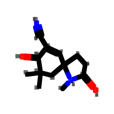 CN1C(=O)CCC12C=C(C#N)C(=O)C(C)(C)C2